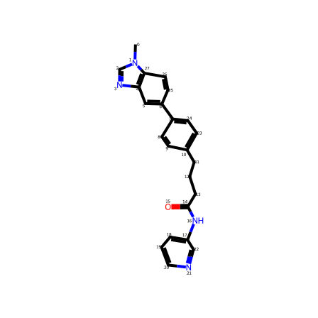 Cn1cnc2cc(-c3ccc(CCCC(=O)Nc4cccnc4)cc3)ccc21